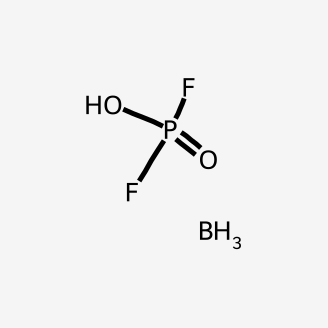 B.O=P(O)(F)F